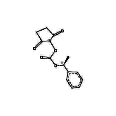 C[C@H](OC(=O)ON1C(=O)CCC1=O)c1ccccc1